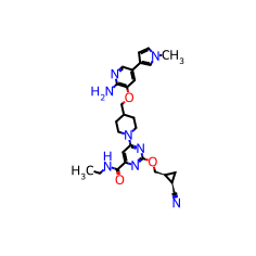 CCNC(=O)c1cc(N2CCC(COc3cc(-c4ccn(C)c4)cnc3N)CC2)nc(OC[C@H]2C[C@H]2C#N)n1